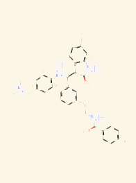 CN(C)Cc1ccc(NC(=C2C(=O)Nc3cc(F)ccc32)c2cccc(CCNC(=O)c3ccccc3)c2)cc1